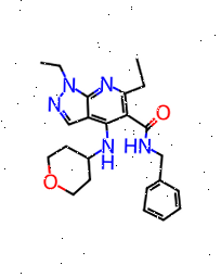 CCc1nc2c(cnn2CC)c(NC2CCOCC2)c1C(=O)NCc1ccccc1